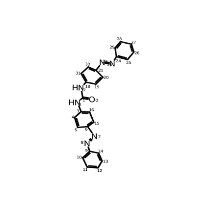 O=C(Nc1ccc(N=Nc2ccccc2)cc1)Nc1ccc(N=Nc2ccccc2)cc1